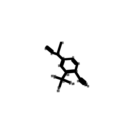 C=C[C](C)c1ccc(C#N)c(C(F)(F)F)c1